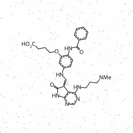 CNCCCNc1ncnc2c1/C(=C/Nc1ccc(NC(=O)c3ccccc3)c(OCCCC(=O)O)c1)C(=O)N2